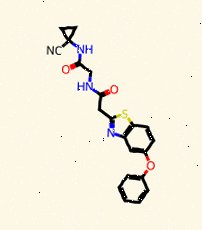 N#CC1(NC(=O)CNC(=O)Cc2nc3cc(Oc4ccccc4)ccc3s2)CC1